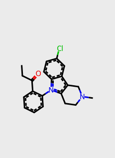 CCC(=O)c1ccccc1-n1c2c(c3cc(Cl)ccc31)CN(C)CC2